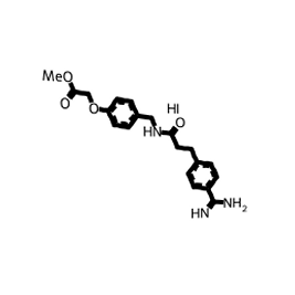 COC(=O)COc1ccc(CNC(=O)CCc2ccc(C(=N)N)cc2)cc1.I